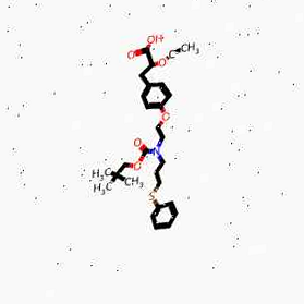 CCOC(Cc1ccc(OCCN(CCCSc2ccccc2)C(=O)OCC(C)(C)C)cc1)C(=O)O